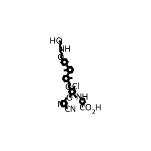 Cc1c(COc2cc(OCc3cncc(C#N)c3)c(CN[C@H]3CC[C@@H](C(=O)O)C3)cc2Cl)cccc1-c1cccc(-c2ccc(OCCNCCO)cc2)c1C